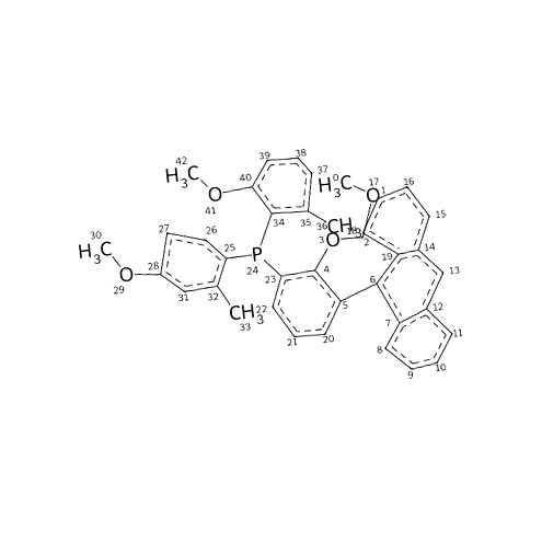 COCOc1c(-c2c3ccccc3cc3ccccc23)cccc1P(c1ccc(OC)cc1C)c1c(C)cccc1OC